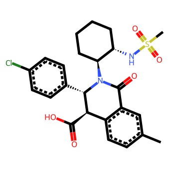 Cc1ccc2c(c1)C(=O)N([C@H]1CCCC[C@@H]1NS(C)(=O)=O)[C@@H](c1ccc(Cl)cc1)[C@@H]2C(=O)O